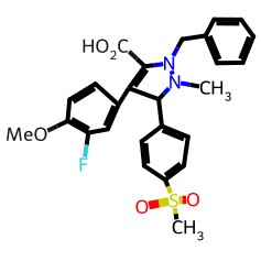 COc1ccc(C2=C(C(=O)O)N(Cc3ccccc3)N(C)C2c2ccc(S(C)(=O)=O)cc2)cc1F